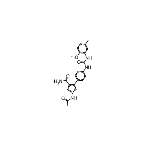 COc1ccc(C)cc1NC(=O)Nc1ccc(-c2cn(NC(C)=O)cc2C(N)=O)cc1